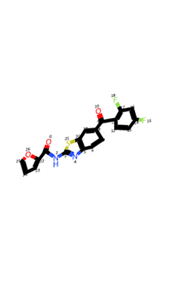 O=C(Nc1nc2ccc(C(=O)c3ccc(F)cc3F)cc2s1)c1ccco1